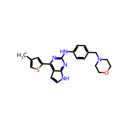 Cc1csc(-c2nc(Nc3ccc(CN4CCOCC4)cc3)nc3[nH]ccc23)c1